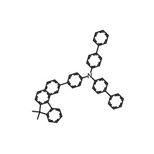 CC1(C)c2ccccc2-c2c1ccc1ccc(-c3ccc(N(c4ccc(-c5ccccc5)cc4)c4ccc(-c5ccccc5)cc4)cc3)cc21